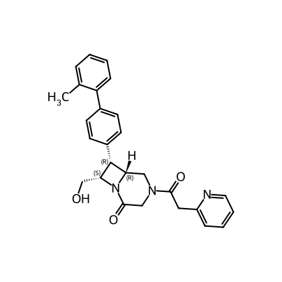 Cc1ccccc1-c1ccc([C@H]2[C@@H](CO)N3C(=O)CN(C(=O)Cc4ccccn4)C[C@@H]23)cc1